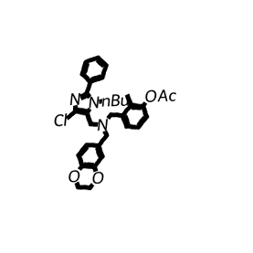 CCCCn1c(-c2ccccc2)nc(Cl)c1CN(Cc1ccc2c(c1)OCCO2)Cc1cccc(OC(C)=O)c1C